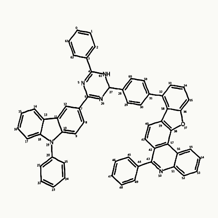 c1ccc(C2=NC(c3ccc4c(c3)c3ccccc3n4-c3ccccc3)=NC(c3ccc(-c4cccc5oc6c(ccc7c(-c8ccccc8)nc8ccccc8c76)c45)cc3)N2)cc1